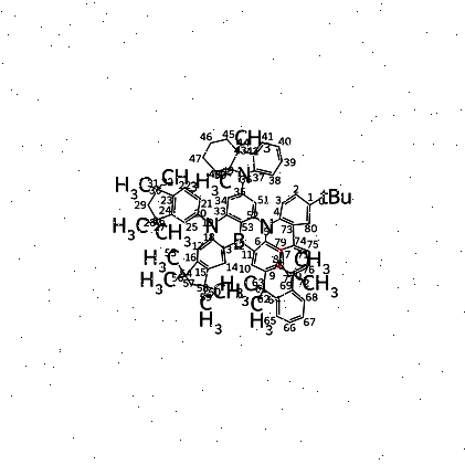 CC(C)(C)c1ccc(N2c3cc4c(cc3B3c5cc6c(cc5N(c5ccc7c(c5)C(C)(C)CC7(C)C)c5cc(N7c8ccccc8C8(C)CCCCC78C)cc2c53)C(C)(C)CC6(C)C)C(C)(C)c2ccccc2C4(C)C)c(-c2ccccc2)c1